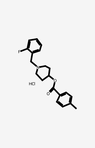 Cc1ccc(C(=O)OC2CCN(Cc3ccccc3F)CC2)cc1.Cl